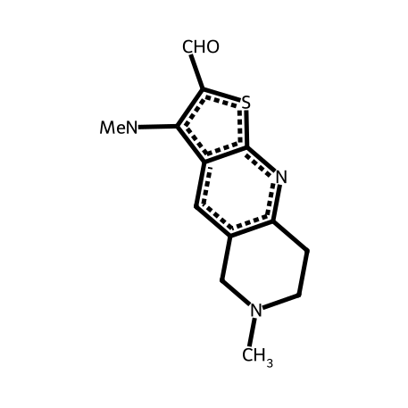 CNc1c(C=O)sc2nc3c(cc12)CN(C)CC3